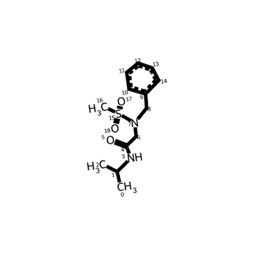 CC(C)NC(=O)CN(Cc1ccccc1)S(C)(=O)=O